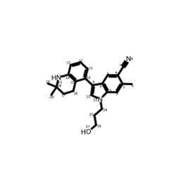 Cc1cc2c(cc1C#N)c(-c1cccc3c1CCC(C)(C)N3)cn2CCCO